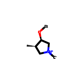 [CH2-][NH+]1C[C@H](OCC)[C@@H](C)C1